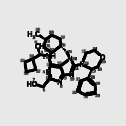 C[C@@H](Nc1nc(CO)nc2nc(N3CCOC[C@H]3c3ccccc3)n(C[C@H]3CC[C@H](C)CC3)c12)C1CCC1